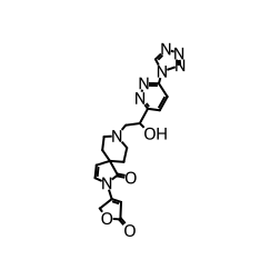 O=C1C=C(N2C=CC3(CCN(CC(O)c4ccc(-n5cnnn5)nn4)CC3)C2=O)CO1